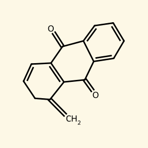 C=C1CC=CC2=C1C(=O)c1ccccc1C2=O